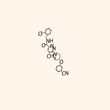 Cc1cc(C(=O)NCc2ccccc2Cl)nnc1N1CCC(Oc2cccc(C#N)c2)CC1